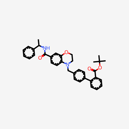 CC(NC(=O)c1ccc2c(c1)OCCN2Cc1ccc(-c2ccccc2C(=O)OC(C)(C)C)cc1)c1ccccc1